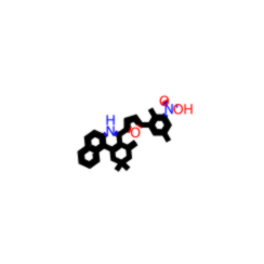 C=C1CC(C)(C)CC2=C1C(c1ccc(-c3cc(C)cc([N+](=O)O)c3C)o1)Nc1ccc3ccccc3c12